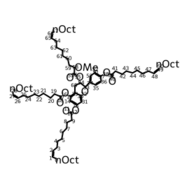 CCCCCCCC/C=C\CCCCCCCC(=O)Oc1cc(OC(=O)CCCCCCC/C=C\CCCCCCCC)c2c(c1)OC(c1ccc(OC(=O)CCCCCCC/C=C\CCCCCCCC)c(OC)c1)[C@@H](OC(=O)CCCCCCC/C=C\CCCCCCCC)C2